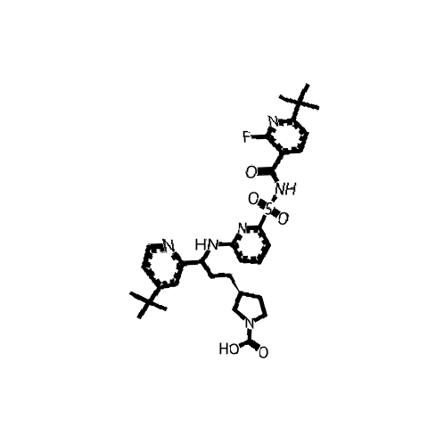 CC(C)(C)c1ccnc(C(CC[C@H]2CCN(C(=O)O)C2)Nc2cccc(S(=O)(=O)NC(=O)c3ccc(C(C)(C)C)nc3F)n2)c1